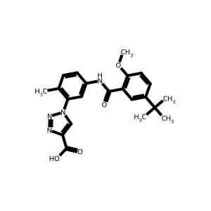 COc1ccc(C(C)(C)C)cc1C(=O)Nc1ccc(C)c(-n2cc(C(=O)O)nn2)c1